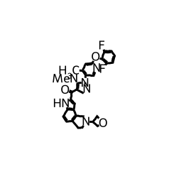 CNc1c(C(=O)c2cc3c4c(ccc3[nH]2)CCN(C2COC2)C4)cnn1-c1cnc(Oc2c(F)cccc2F)cc1C